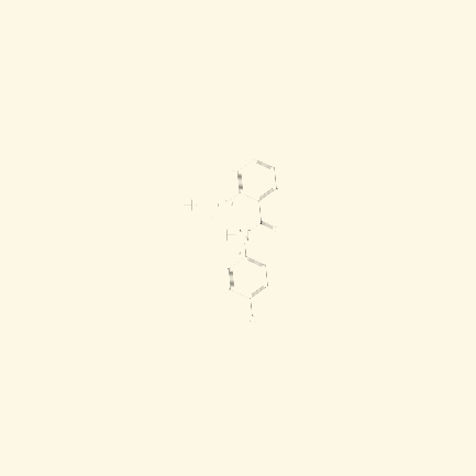 CC(=O)c1ccc(NC(=O)c2ccccc2C(=O)O)cc1